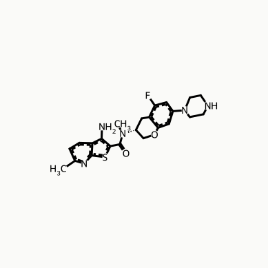 Cc1ccc2c(N)c(C(=O)N(C)[C@H]3COc4cc(N5CCNCC5)cc(F)c4C3)sc2n1